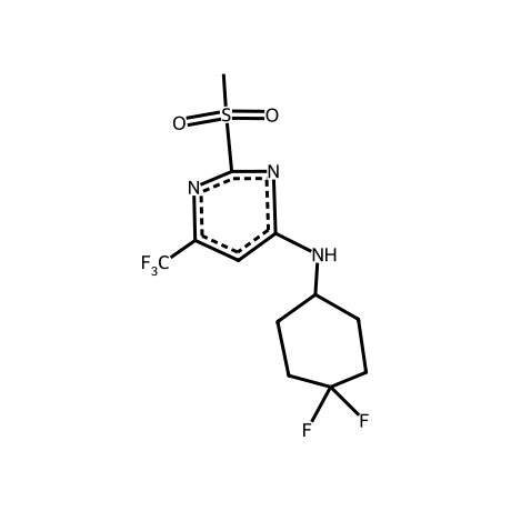 CS(=O)(=O)c1nc(NC2CCC(F)(F)CC2)cc(C(F)(F)F)n1